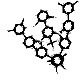 Cc1cc(C)cc(-c2ccc3c4ccc(-c5cc(C)cc(C)c5)cc4n(-c4cc(-c5c(F)cccc5F)cc(-n5c6cc(-c7cc(C)cc(C)c7)ccc6c6ccc(-c7cc(C)cc(C)c7)cc65)c4C(F)(F)F)c3c2)c1